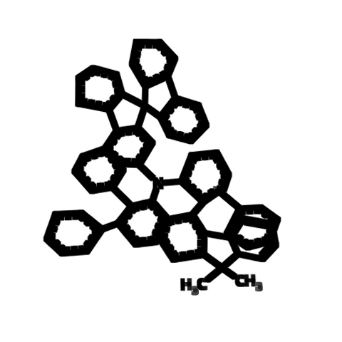 CC1(C)c2cccc(-c3c(-c4ccccc4)cccc3N(c3ccc4c(c3)C3(c5ccccc5-c5ccccc53)c3ccccc3-4)c3cccc(-c4ccccc4)c3-c3ccccc3)c2C2C=CC=CC21